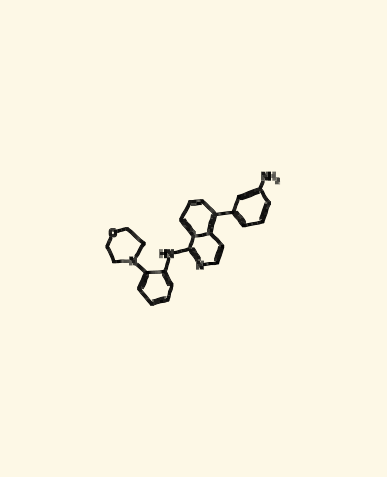 Nc1cccc(-c2cccc3c(Nc4ccccc4N4CCOCC4)nccc23)c1